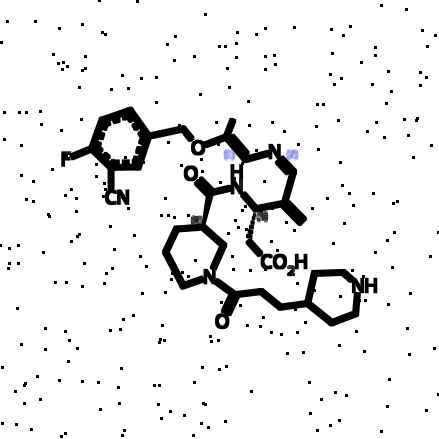 C=C(/C=N\C=C(/C)OCc1ccc(F)c(C#N)c1)[C@H](CC(=O)O)NC(=O)[C@@H]1CCCN(C(=O)CCC2CCNCC2)C1